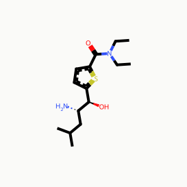 CCN(CC)C(=O)c1ccc([C@@H](O)[C@@H](N)CC(C)C)s1